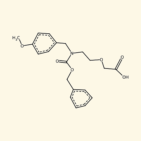 COc1ccc(CN(CCOCC(=O)O)C(=O)OCc2ccccc2)cc1